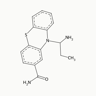 CCC(N)N1c2ccccc2Sc2ccc(C(N)=O)cc21